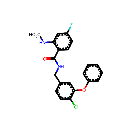 O=C(O)Nc1cc(F)ccc1C(=O)NCc1ccc(Cl)c(Oc2ccccc2)c1